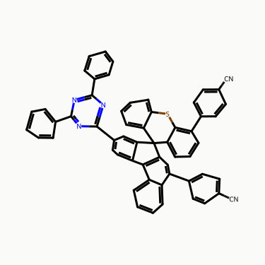 N#Cc1ccc(-c2cccc3c2Sc2ccccc2C32c3cc(-c4nc(-c5ccccc5)nc(-c5ccccc5)n4)ccc3-c3c2cc(-c2ccc(C#N)cc2)c2ccccc32)cc1